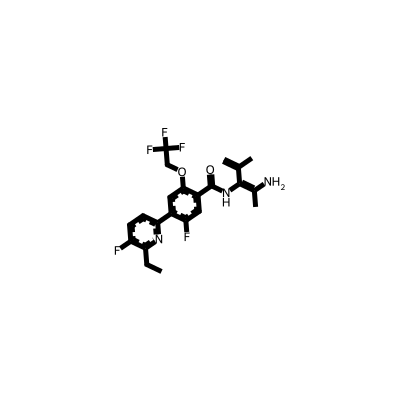 C=C(C)/C(NC(=O)c1cc(F)c(-c2ccc(F)c(CC)n2)cc1OCC(F)(F)F)=C(/C)N